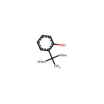 CCCCCCC(C)(CCCCCC)c1ccccc1O